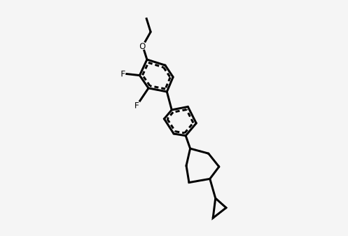 CCOc1ccc(-c2ccc(C3CCC(C4CC4)CC3)cc2)c(F)c1F